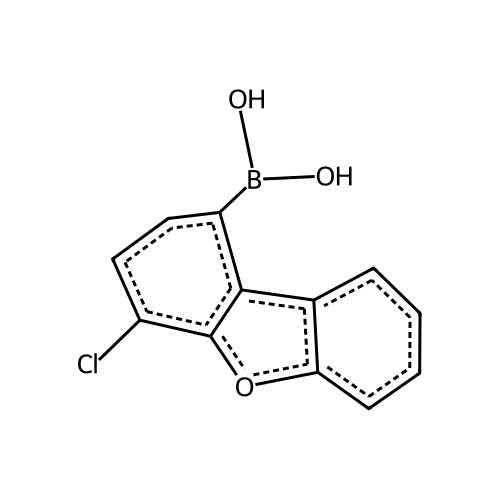 OB(O)c1ccc(Cl)c2oc3ccccc3c12